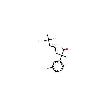 COC(=O)C(C)(CCCC(C)(C)C=O)c1cccc(Br)c1